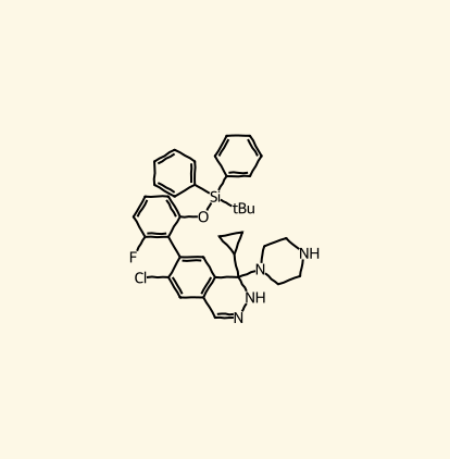 CC(C)(C)[Si](Oc1cccc(F)c1-c1cc2c(cc1Cl)C=NNC2(C1CC1)N1CCNCC1)(c1ccccc1)c1ccccc1